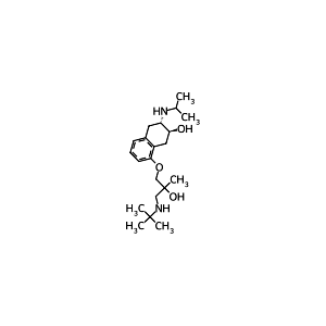 CC(C)N[C@H]1Cc2cccc(OCC(C)(O)CNC(C)(C)C)c2C[C@@H]1O